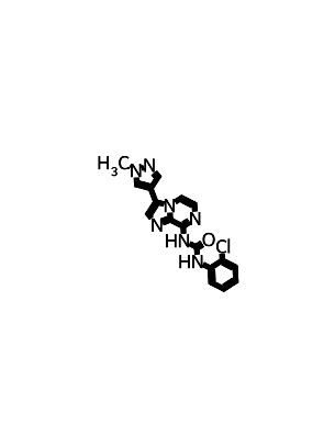 Cn1cc(-c2cnc3c(NC(=O)Nc4ccccc4Cl)nccn23)cn1